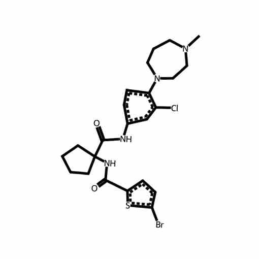 CN1CCCN(c2ccc(NC(=O)C3(NC(=O)c4ccc(Br)s4)CCCC3)cc2Cl)CC1